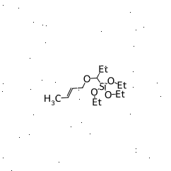 CC=CCOC(CC)[Si](OCC)(OCC)OCC